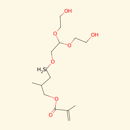 C=C(C)C(=O)OCC(C)C[SiH2]OCC(OCCO)OCCO